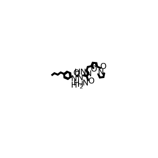 CCCCc1ccc(NC(=O)Nc2[nH]c(Cc3ccc(C(=O)N4CCCC4)o3)nc2C(N)=O)cc1